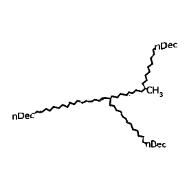 CCCCCCCCCCCCCCCCCCCCCCCCCCCC(CCC[CH]CCCCC(C)CCCCCCCCCCCCCCCCCCC)CCCCCCCCCCCCCCCCCCCCCCC